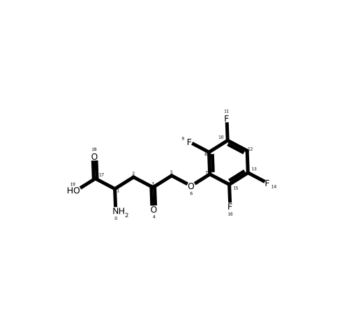 NC(CC(=O)COc1c(F)c(F)cc(F)c1F)C(=O)O